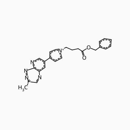 CP1C=Nc2cc(-c3cc[n+](CCCC(=O)OCc4ccccc4)cc3)cnc2N=N1